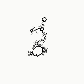 COc1cc2cc(c1Cl)CC(=O)C[C@H](OC(=O)[C@H](C)N(C)C(=O)CCOC(=O)N(C)CCN(C)C(=O)OCc1ccc(NC(=O)OC3/C=C/CCCCC3)c(C(=O)NCCN3C(=O)C=CC3=O)c1)[C@]1(C)O[C@H]1[C@H](C)[C@@H]1C[C@@](O)(NC(=O)O1)[C@H](OC)/C=C/C=C(\C)C2